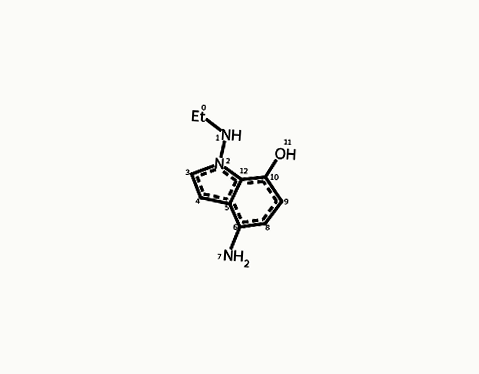 CCNn1ccc2c(N)ccc(O)c21